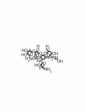 C[C@H]1[C@@H](O[C@H]2[C@@H](O)[C@H](O[C@@H]3[C@@H](O)[C@H](NC(=O)[C@@H](O)C(F)(F)CN)C[C@H](N)[C@H]3O[C@H]3O[C@H](CNCCO)[C@@H](O)C[C@H]3N)O[C@@H]2CO)O[C@@H](CN)[C@@H](O)[C@@H]1O